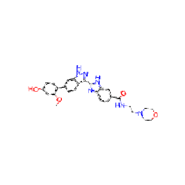 COc1cc(O)ccc1-c1ccc2c(-c3nc4ccc(C(=O)NCCN5CCOCC5)cc4[nH]3)n[nH]c2c1